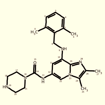 Cc1cccc(C)c1CNc1cc(NC(=O)N2CCNCC2)cn2c(C)c(C)nc12